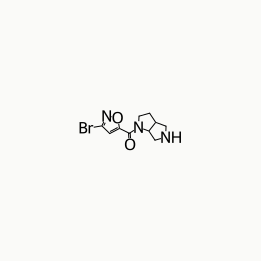 O=C(c1cc(Br)no1)N1CCC2CNCC21